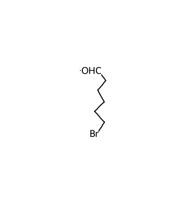 O=[C]CCCCCBr